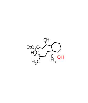 C=C(C)CC[C@@]1(C)C(C(C)CC(=O)OCC)CCC[C@@H]1O